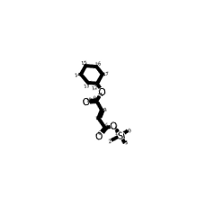 C[Si](C)(C)OC(=O)/C=C/C(=O)OC1CCCCC1